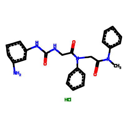 CN(C(=O)CN(C(=O)CNC(=O)Nc1cccc(N)c1)c1ccccc1)c1ccccc1.Cl